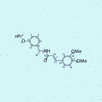 CCCOc1cccc(C(C)NC(=O)/C=C/c2ccc(OC)c(OC)c2)c1